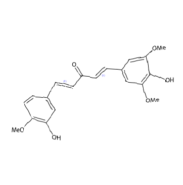 COc1ccc(/C=C/C(=O)/C=C/c2cc(OC)c(O)c(OC)c2)cc1O